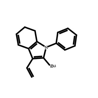 C=Cc1c2c(n(-c3ccccc3)c1C(C)CC)CCC=C2